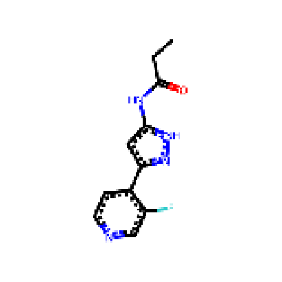 CCC(=O)Nc1cc(-c2ccncc2F)n[nH]1